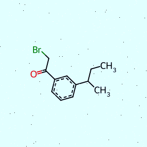 CCC(C)c1cccc(C(=O)CBr)c1